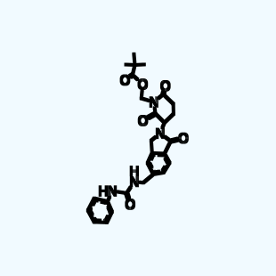 CC(C)(C)C(=O)OCN1C(=O)CCC(N2Cc3cc(CNC(=O)Nc4ccccc4)ccc3C2=O)C1=O